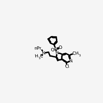 CCCN(C)CCc1cc2c(Cl)nc(C)cc2n1S(=O)(=O)c1ccccc1